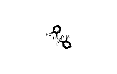 CCc1ccccc1S(=O)(=O)Nc1ccccc1O